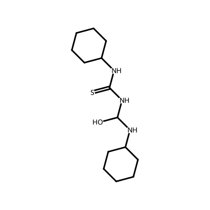 OC(NC(=S)NC1CCCCC1)NC1CCCCC1